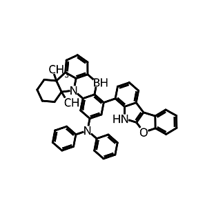 CC12CCCCC1(C)N1c3cc(N(c4ccccc4)c4ccccc4)cc(-c4cccc5c4[nH]c4oc6ccccc6c45)c3Bc3cccc2c31